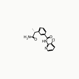 C[C@@H](C(N)=O)c1cccc(C(=O)Nc2ncccc2Cl)c1